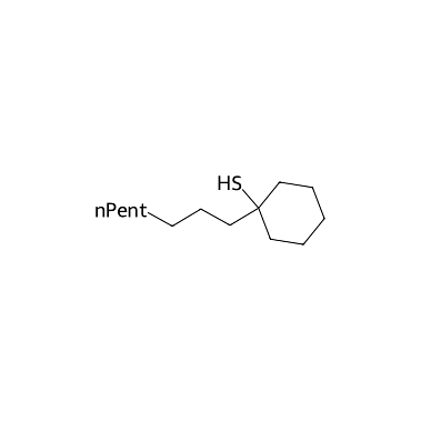 CCCCCCCCC1(S)CCCCC1